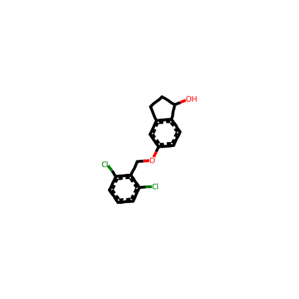 OC1CCc2cc(OCc3c(Cl)cccc3Cl)ccc21